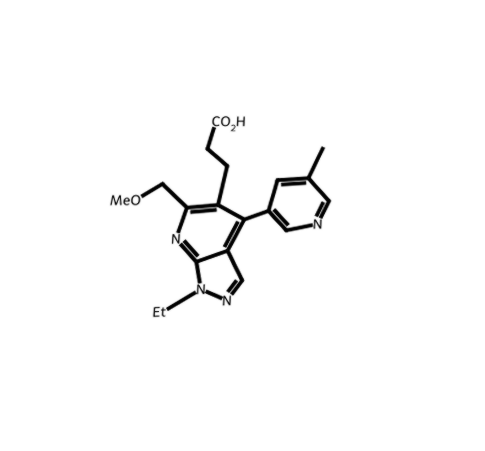 CCn1ncc2c(-c3cncc(C)c3)c(CCC(=O)O)c(COC)nc21